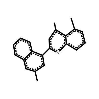 Cc1cc(-c2cc(C)c3c(C)cccc3n2)c2ccccc2c1